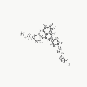 CCN1CCN(c2nc(-c3ccc(OCCOC)cc3)cc3ccccc23)CC1